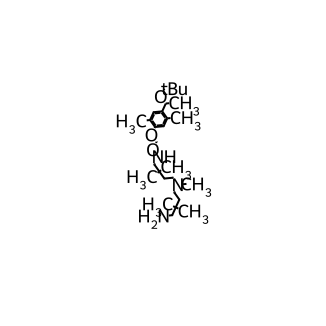 Cc1cc(C(C)OC(C)(C)C)c(C)cc1OCONCC(C)(C)CCN(C)CCC(C)(C)CN